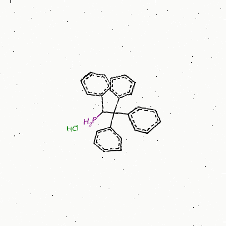 Cl.PC(c1ccccc1)C(c1ccccc1)(c1ccccc1)c1ccccc1